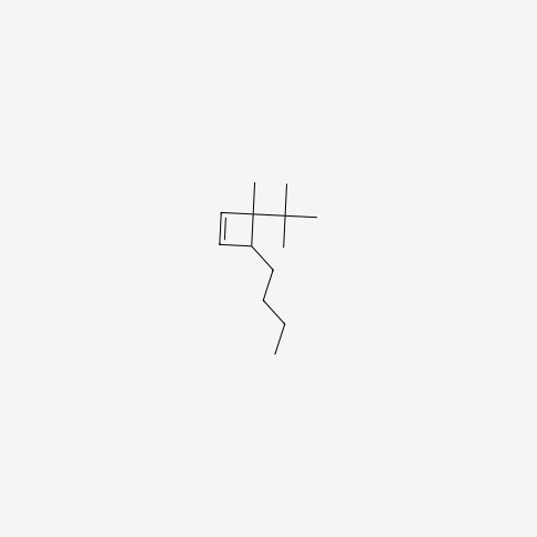 CCCCC1C=CC1(C)C(C)(C)C